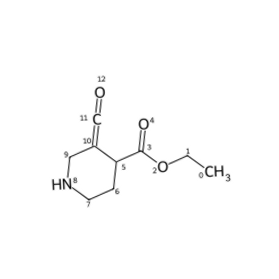 CCOC(=O)C1CCNCC1=C=O